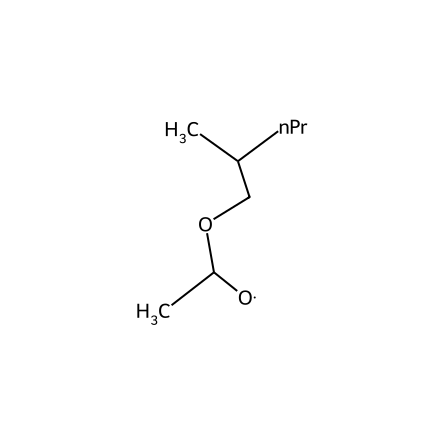 CCCC(C)COC(C)[O]